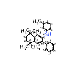 Cc1cccc(NC2=CC3C(C=C2c2ccccc2)C(C)(C)CCC3(C)C)c1